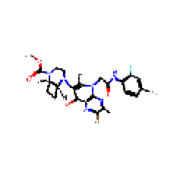 CCc1c(N2CCN(C(=O)OC(C)(C)C)[C@H]3CC[C@@H]32)c(=O)c2nc(Br)c(C)nc2n1CC(=O)Nc1ccc(C(F)(F)F)cc1F